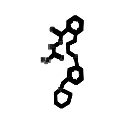 CC(=O)NOC(=O)c1ccccc1CCCOc1cccc(CN2CCCCC2)c1